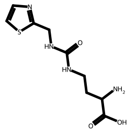 NC(CCNC(=O)NCc1nccs1)C(=O)O